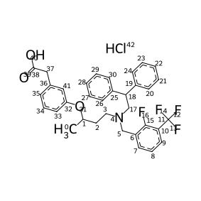 CC(CCN(Cc1cccc(C(F)(F)F)c1F)CC(c1ccccc1)c1ccccc1)Oc1cccc(CC(=O)O)c1.Cl